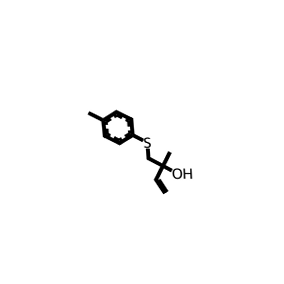 C=CC(C)(O)CSc1ccc(C)cc1